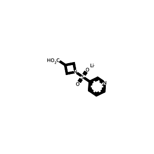 O=C(O)C1CN(S(=O)(=O)c2cccnc2)C1.[Li]